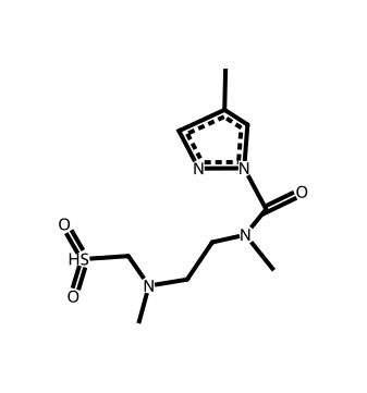 Cc1cnn(C(=O)N(C)CCN(C)C[SH](=O)=O)c1